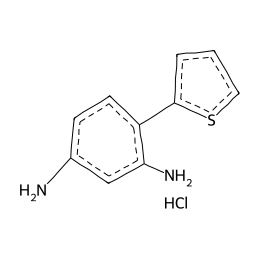 Cl.Nc1ccc(-c2cccs2)c(N)c1